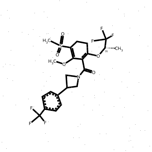 COC1=C(S(C)(=O)=O)CCC(O[C@@H](C)C(F)(F)F)=C1C(=O)N1CC(c2ccc(C(F)(F)F)cc2)C1